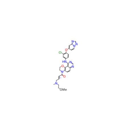 COCCN(C)C/C=C/C(=O)N1CCOc2c1ccc1ncnc(Nc3ccc(Oc4ccn5ncnc5c4)c(Cl)c3)c21